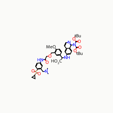 COc1ccc(C(Nc2ccc3c(N(C(=O)OC(C)(C)C)C(=O)OC(C)(C)C)nccc3c2)C(=O)O)cc1COCC(=O)Nc1ccc(S(=O)(=O)C2CC2)c(CN(C)C)c1